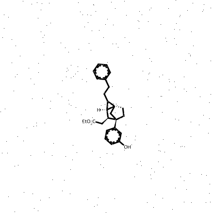 CCOC(=O)C[C@H]1[C@H]2C(CCc3ccccc3)[C@]23CC[C@@]1(c1cccc(O)c1)C3